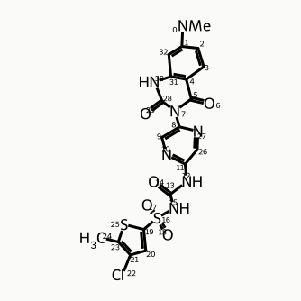 CNc1ccc2c(=O)n(-c3cnc(NC(=O)NS(=O)(=O)c4cc(Cl)c(C)s4)cn3)c(=O)[nH]c2c1